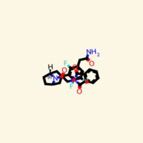 NC(=O)Cc1cc(F)c(F)c(C2CC3CC[C@H](C2)N3C(=O)CN2C(=O)c3ccccc3C2=O)c1F